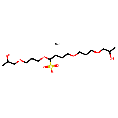 CC(O)COCCCOCCCC(OCCCOCC(C)O)S(=O)(=O)[O-].[Na+]